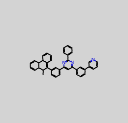 CC1C(c2cccc(-c3cc(-c4cccc(-c5cccnc5)c4)nc(-c4ccccc4)n3)c2)=C2C=CC=CC2C2C=CC=CC12